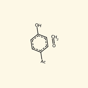 C=O.CC(=O)c1ccc(O)cc1